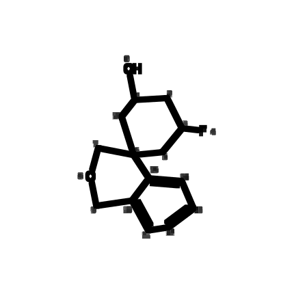 OC1CC(F)CC2(COCc3ccccc32)C1